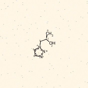 C[C@@H](O)Cn1ccnn1